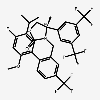 COc1cc(F)c(C(C)C)cc1-c1ccc(C(F)(F)F)cc1CN1C(=O)OC[C@]1(C)c1cc(C(F)(F)F)cc(C(F)(F)F)c1